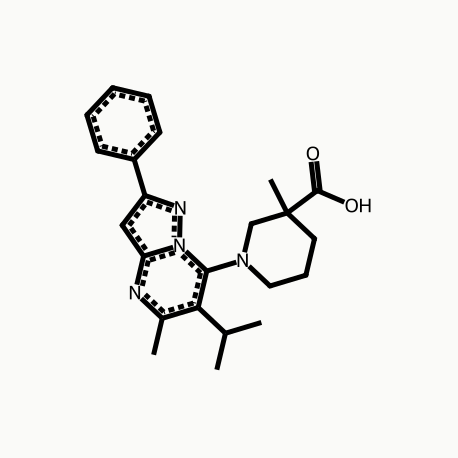 Cc1nc2cc(-c3ccccc3)nn2c(N2CCCC(C)(C(=O)O)C2)c1C(C)C